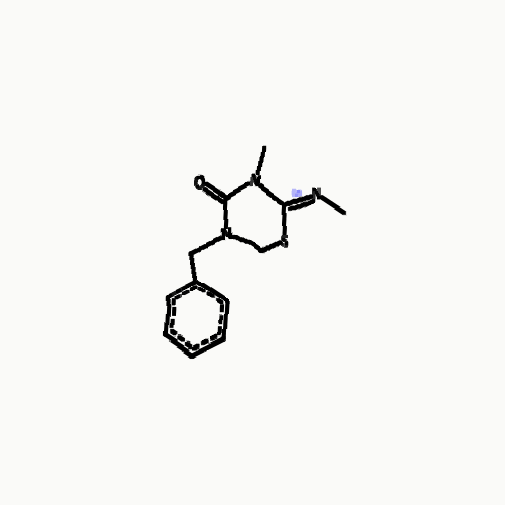 C/N=C1\SCN(Cc2ccccc2)C(=O)N1C